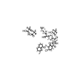 Cc1ccc2cccc(OCc3c(Cl)ccc(S(=O)(=O)NC(C)(C)C(=O)N4CCN(C(=N)NCCCN)CC4)c3Cl)c2n1.O=C(O)C(F)(F)F.O=C(O)C(F)(F)F.O=C(O)C(F)(F)F